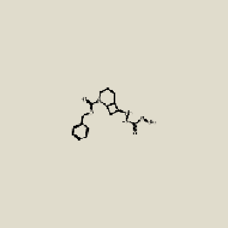 CC(C)(C)OC(=O)NNC1CC2C1CCCN2C(=O)OCc1ccccc1